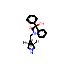 O=C(NC[C@H]1[C@@H]2CNC[C@@H]21)C(O)(c1ccccc1)c1ccccc1